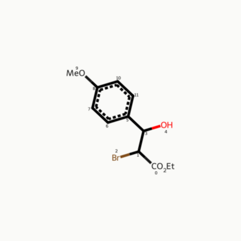 CCOC(=O)C(Br)C(O)c1ccc(OC)cc1